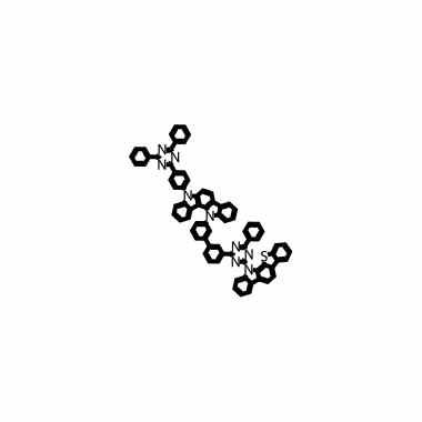 c1ccc(-c2nc(-c3ccccc3)nc(-c3ccc(-n4c5ccccc5c5c4ccc4c6ccccc6n(-c6cccc(-c7cccc(-c8nc(-c9ccccc9)nc(-n9c%10ccccc%10c%10ccc%11c%12ccccc%12sc%11c%109)n8)c7)c6)c45)cc3)n2)cc1